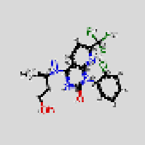 C=C(CCO)Nc1nc(=O)n(-c2ccccc2Cl)c2nc(C(F)(F)F)ccc12